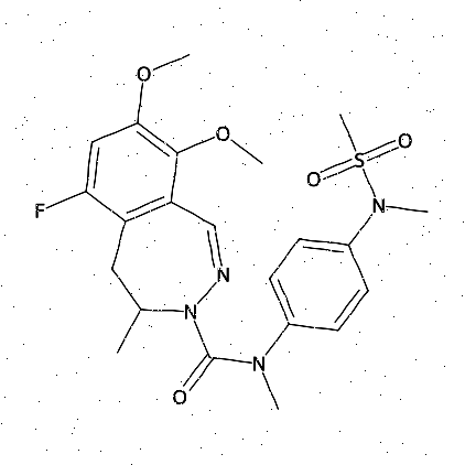 COc1cc(F)c2c(c1OC)C=NN(C(=O)N(C)c1ccc(N(C)S(C)(=O)=O)cc1)C(C)C2